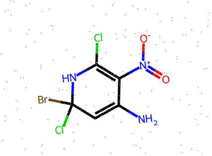 NC1=CC(Cl)(Br)NC(Cl)=C1[N+](=O)[O-]